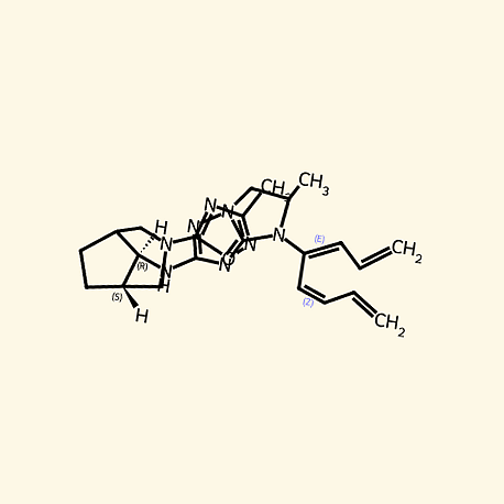 C=C/C=C\C(=C/C=C)N1c2nc(N[C@@H]3C4CC[C@H]3CN(c3nc(C)no3)C4)nn2CC1C